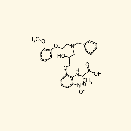 COc1ccccc1OCCN(Cc1ccccc1)CC(O)COc1cccc([N+](=O)[O-])c1NC(C)C(=O)O